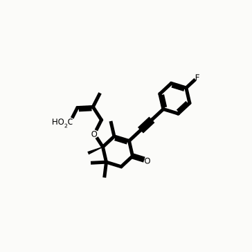 CC1=C(C#Cc2ccc(F)cc2)C(=O)CC(C)(C)[C@]1(C)OC/C(C)=C\C(=O)O